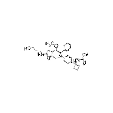 COC1=C(c2ccccc2)N(c2ccc(C3(NC(=O)O)CCC3)cc2)Cc2oc(NCCCO)cc21